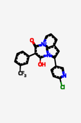 O=c1c(-c2cccc(C(F)(F)F)c2)c(O)n2c(-c3ccc(Cl)nc3)cc3ccc[n+]1c32